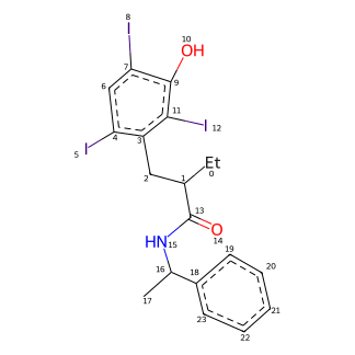 CCC(Cc1c(I)cc(I)c(O)c1I)C(=O)NC(C)c1ccccc1